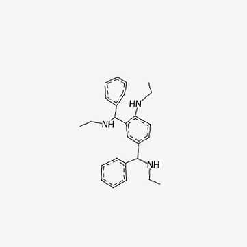 CCNc1ccc(C(NCC)c2ccccc2)cc1C(NCC)c1ccccc1